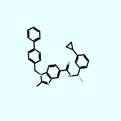 Cc1nc2cc(C(=O)N[C@@H](C)c3cccc(C4CC4)c3)ccc2n1Cc1ccc(-c2ccccc2)cc1